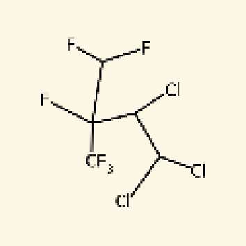 FC(F)C(F)(C(Cl)C(Cl)Cl)C(F)(F)F